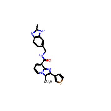 Cc1nc2ccc(CNC(=O)c3cccn4c(C(=O)O)c(-c5ccsc5)nc34)cc2[nH]1